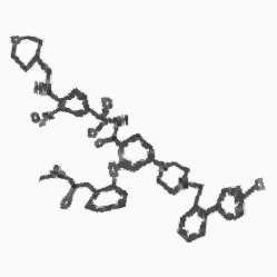 CN(C)C(=O)Cc1ccccc1Oc1cc(N2CCN(Cc3ccccc3-c3ccc(Cl)cc3)CC2)ccc1C(=O)NS(=O)(=O)c1ccc(NCC2CCOCC2)c([N+](=O)[O-])c1